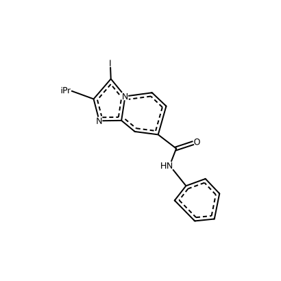 CC(C)c1nc2cc(C(=O)Nc3ccccc3)ccn2c1I